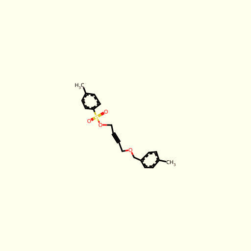 Cc1ccc(COCC#CCOS(=O)(=O)c2ccc(C)cc2)cc1